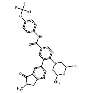 CC1CN(c2ncc(C(=O)Nc3ccc(OC(F)(F)Cl)cc3)cc2-c2cnc3c(c2)C(=O)N(C)C3)CC(C)O1